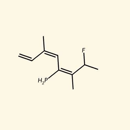 C=C/C(C)=C\C(P)=C(\C)C(C)F